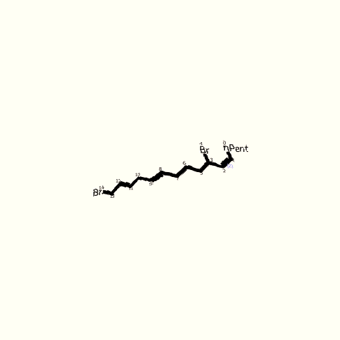 CCCCC/C=C\C(Br)CCCC=CCC=CCBr